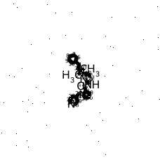 CC(C)(/C=C/c1ccccc1)c1csc(NC(=O)c2cccn2Cc2ccncc2)n1